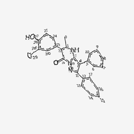 Cc1[nH]c2c(-c3ccccc3)c(-c3ccccc3)nn2c(=O)c1-c1ccc(O)c(Cl)c1